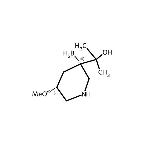 B[C@]1(C(C)(C)O)CNC[C@H](OC)C1